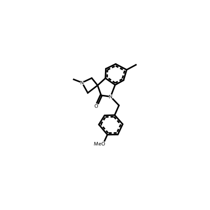 COc1ccc(CN2C(=O)C3(CN(C)C3)c3ccc(C)cc32)cc1